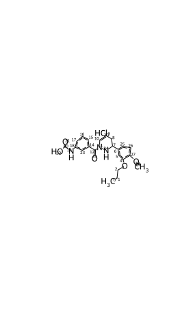 CCCOc1cc(C2CC=CN(C(=O)c3cccc(NC(=O)O)c3)N2)ccc1OC.Cl